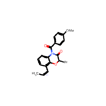 C/C=C\c1cccc2c1OC(C(C)C)C(=O)N2C(=O)c1ccc(OC)cc1